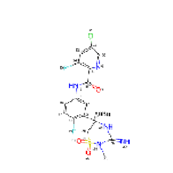 CCCC[C@@]1(c2cc(NC(=O)c3ncc(Cl)cc3F)ccc2F)CS(=O)(=O)N(C)C(=N)N1